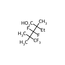 CCC(C)(C(=O)O)C(F)(F)C(C)(C)C(F)(F)F